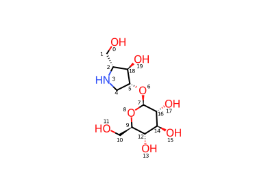 OC[C@H]1NC[C@@H](O[C@@H]2O[C@H](CO)[C@@H](O)[C@H](O)[C@H]2O)[C@@H]1O